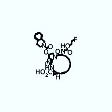 O=C(N[C@H]1CCCCC/C=C\[C@@H]2C[C@@]2(C(=O)O)NC(=O)[C@@H]2C[C@@H](OC(=O)N3CCc4ccccc4C3)CN2C1=O)OCCF